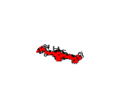 CC1CCCN1C(=O)C(NC(=O)CCCCCC(=O)N1CCN(CCC(CSc2ccccc2)Nc2ccc(S(=O)(=O)NC(=O)c3ccc(N4CCN(CC5=C(c6ccc(Cl)cc6)CCC(C)(C)C5)CC4)cc3)cc2S(=O)(=O)C(F)(F)F)CC1)C(C)(C)C